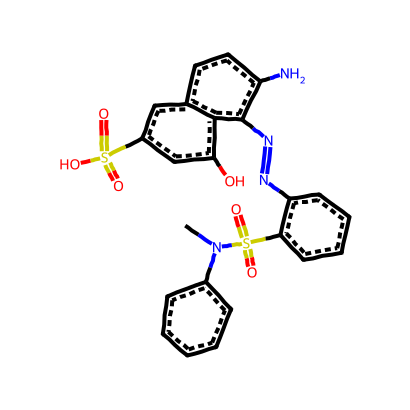 CN(c1ccccc1)S(=O)(=O)c1ccccc1N=Nc1c(N)ccc2cc(S(=O)(=O)O)cc(O)c12